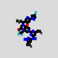 Cc1cc(Nc2cc(C)[nH]n2)nc(N2CCC3(CC2)C(=O)N([C@@H](C)c2ccc(-n4cc(F)cn4)nc2)CC(=O)N3CC(F)(F)F)n1